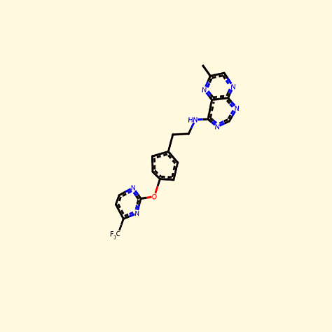 Cc1cnc2ncnc(NCCc3ccc(Oc4nccc(C(F)(F)F)n4)cc3)c2n1